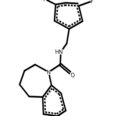 O=C(NCc1cc(F)cc(F)c1)N1CCCCc2ccccc21